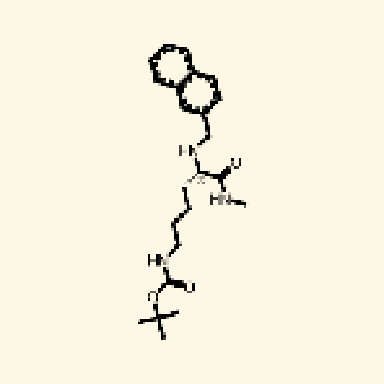 CNC(=O)[C@H](CCCCNC(=O)OC(C)(C)C)NCc1ccc2ccccc2c1